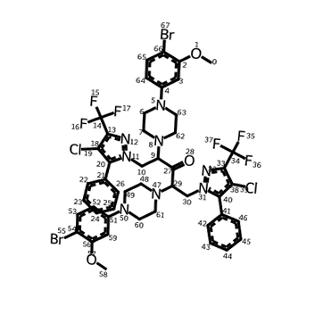 COc1cc(N2CCN(C(Cn3nc(C(F)(F)F)c(Cl)c3-c3ccccc3)C(=O)C(Cn3nc(C(F)(F)F)c(Cl)c3-c3ccccc3)N3CCN(c4ccc(Br)c(OC)c4)CC3)CC2)ccc1Br